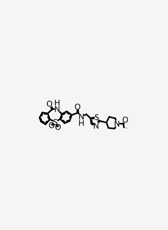 [CH2]C(=O)N1CCC(c2ncc(CNC(=O)c3ccc4c(c3)NC(=O)c3ccccc3S4(=O)=O)s2)CC1